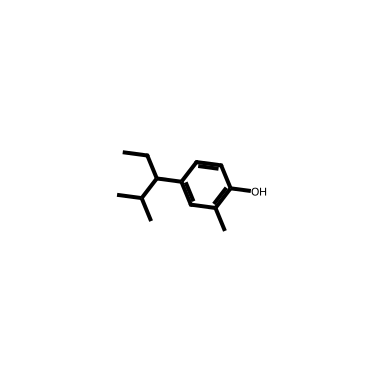 CCC(c1ccc(O)c(C)c1)C(C)C